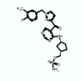 Cc1cc(Cn2ccc(C(=O)c3cncnc3N[C@H]3CC[C@@H](COS(N)(=O)=O)C3)n2)ccc1F